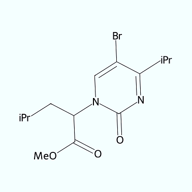 COC(=O)C(CC(C)C)n1cc(Br)c(C(C)C)nc1=O